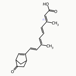 CC(C=CC1=CC2CC1CC2=O)=CC=C/C(C)=C/C(=O)O